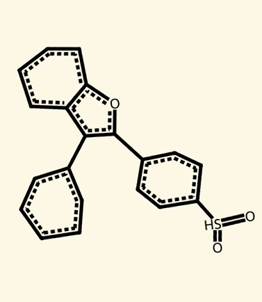 O=[SH](=O)c1ccc(-c2oc3ccccc3c2-c2ccccc2)cc1